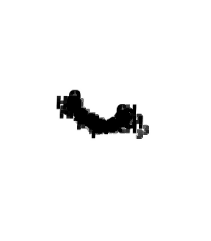 Cc1c(-c2ccc(CN3CC[C@H](N4CCN(c5ccc(N[C@H]6CCC(=O)NC6=O)cc5F)CC4)C(F)(F)C3)cc2)cn(C)c(=O)c1C